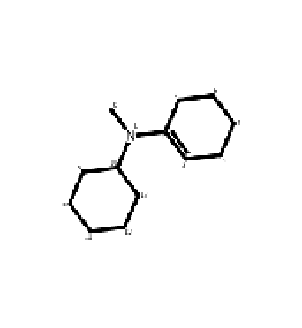 CN(C1=CCCCC1)C1CCCCC1